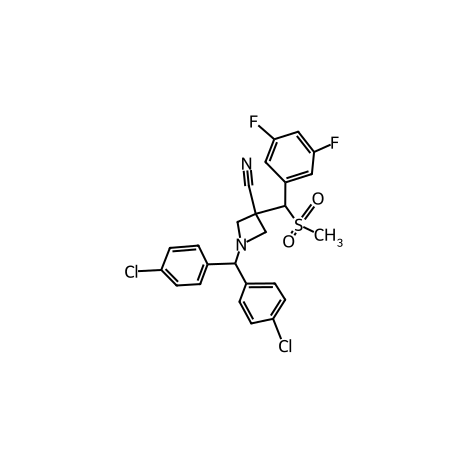 CS(=O)(=O)C(c1cc(F)cc(F)c1)C1(C#N)CN(C(c2ccc(Cl)cc2)c2ccc(Cl)cc2)C1